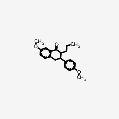 CCCC1C(=O)c2cc(OC)ccc2CC1c1ccc(OC)cc1